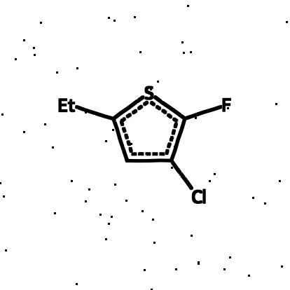 CCc1cc(Cl)c(F)s1